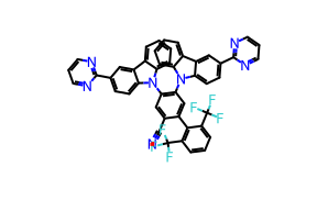 N#Cc1cc(-n2c3ccccc3c3cc(-c4ncccn4)ccc32)c(-n2c3ccccc3c3cc(-c4ncccn4)ccc32)cc1-c1c(C(F)(F)F)cccc1C(F)(F)F